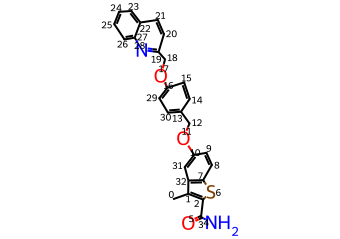 Cc1c(C(N)=O)sc2ccc(OCc3ccc(OCc4ccc5ccccc5n4)cc3)cc12